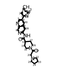 Cn1cc(-c2cnc3cnc(NC(=O)C4CCN(C(=O)CN5CCCC5)CC4)cc3c2)nn1